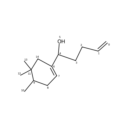 C=CCCC(O)C1=CCC(C)C(C)(C)C1